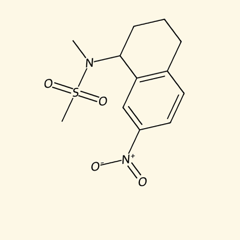 CN(C1CCCc2ccc([N+](=O)[O-])cc21)S(C)(=O)=O